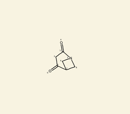 O=C1CC(=O)N2CC1C2